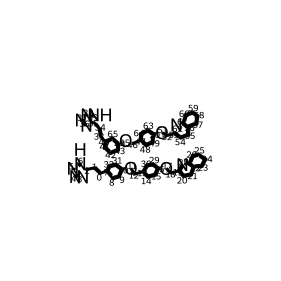 C(=Cc1nnn[nH]1)c1ccc(OCc2ccc(OCc3ccc4ccccc4n3)cc2)cc1.C(=Cc1nnn[nH]1)c1cccc(OCc2ccc(OCc3ccc4ccccc4n3)cc2)c1